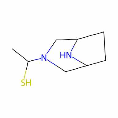 CC(S)N1CC2CCC(C1)N2